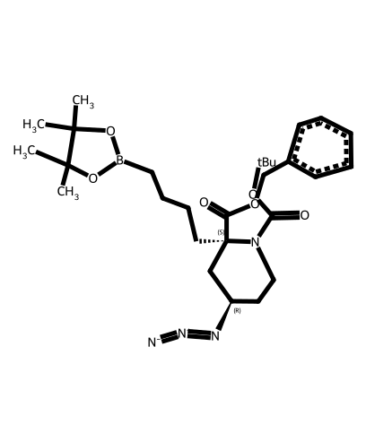 CC(C)(C)OC(=O)N1CC[C@@H](N=[N+]=[N-])C[C@@]1(CCCCB1OC(C)(C)C(C)(C)O1)C(=O)OCc1ccccc1